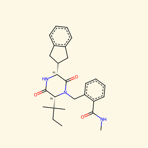 CCC(C)(C)[C@@H]1C(=O)N[C@H](C2Cc3ccccc3C2)C(=O)N1Cc1ccccc1C(=O)NC